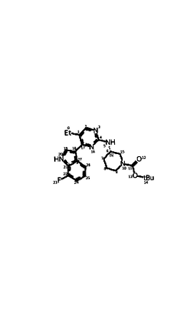 CCc1cnc(N[C@H]2CCCN(C(=O)OC(C)(C)C)C2)nc1-c1c[nH]c2c(F)cccc12